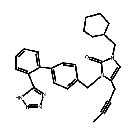 CC#CCc1cn(CC2CCCCC2)c(=O)n1Cc1ccc(-c2ccccc2-c2nnn[nH]2)cc1